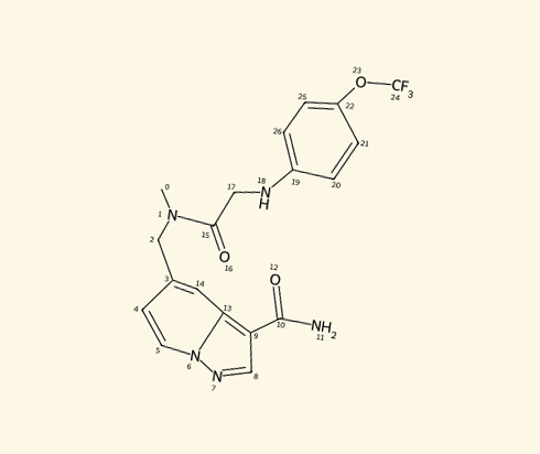 CN(Cc1ccn2ncc(C(N)=O)c2c1)C(=O)CNc1ccc(OC(F)(F)F)cc1